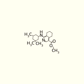 CCOC(=O)c1cnc(NC2CC(C)CC(C)(C)C2)c2c1CCCC2